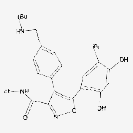 CCNC(=O)c1noc(-c2cc(C(C)C)c(O)cc2O)c1-c1ccc(CNC(C)(C)C)cc1